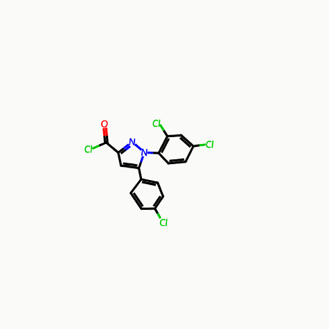 O=C(Cl)c1cc(-c2ccc(Cl)cc2)n(-c2ccc(Cl)cc2Cl)n1